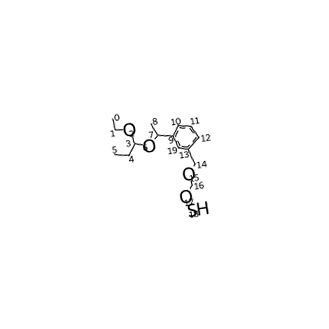 CCOC(CC)OC(C)c1cccc(COCOS)c1